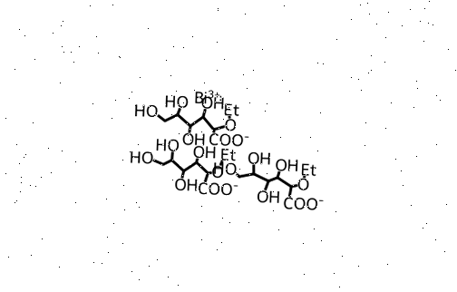 CCOC(C(=O)[O-])C(O)C(O)C(O)CO.CCOC(C(=O)[O-])C(O)C(O)C(O)CO.CCOC(C(=O)[O-])C(O)C(O)C(O)CO.[Bi+3]